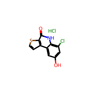 Cl.O=c1[nH]c2c(Cl)cc(O)cc2c2ccsc12